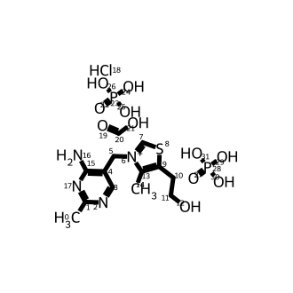 Cc1ncc(C[n+]2csc(CCO)c2C)c(N)n1.Cl.O=CO.O=P(O)(O)O.O=P(O)(O)O